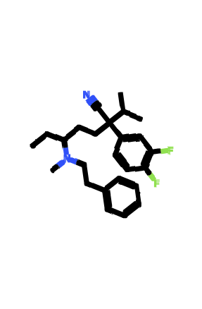 CCC(CCC(C#N)(c1ccc(F)c(F)c1)C(C)C)N(C)CCc1ccccc1